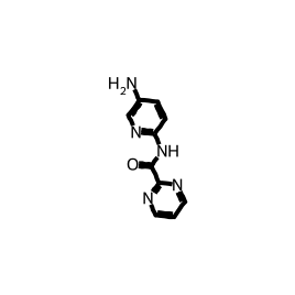 Nc1ccc(NC(=O)c2ncccn2)nc1